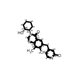 Cc1c(Cc2ccnc(Cl)c2)cc2c(=O)n([C@@H]3CCCC[C@H]3O)cnc2c1C